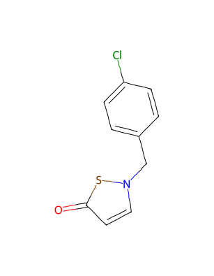 O=c1ccn(Cc2ccc(Cl)cc2)s1